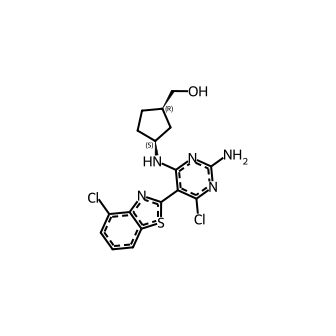 Nc1nc(Cl)c(-c2nc3c(Cl)cccc3s2)c(N[C@H]2CC[C@@H](CO)C2)n1